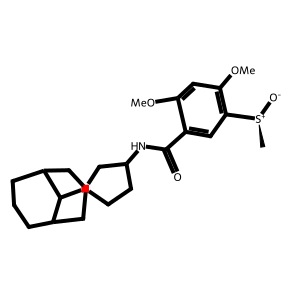 COc1cc(OC)c([S@+](C)[O-])cc1C(=O)NC1CCN(C2C3CCCC2CCC3)C1